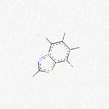 COc1c(F)c(F)c(F)c2sc(S)nc12